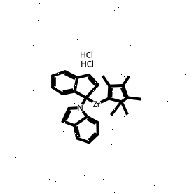 CC1=C(C)C(C)(C)[C]([Zr][C]2(n3ccc4ccccc43)C=Cc3ccccc32)=C1C.Cl.Cl